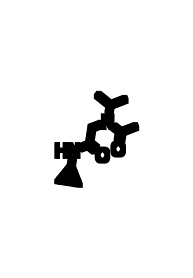 CC(=O)N(CC(=O)NC1CC1)C(C)C